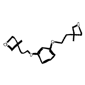 CC1(CCOc2cccc(OCCC3(C)COC3)c2)COC1